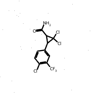 NC(=O)C1C(c2ccc(Cl)c(C(F)(F)F)c2)C1(Cl)Cl